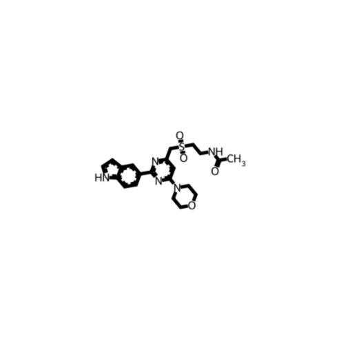 CC(=O)NCCS(=O)(=O)Cc1cc(N2CCOCC2)nc(-c2ccc3[nH]ccc3c2)n1